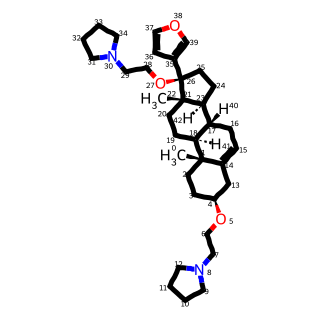 C[C@]12CC[C@H](OCCN3CCCC3)CC1=CC[C@@H]1[C@@H]2CC[C@@]2(C)[C@H]1CC[C@@]2(OCCN1CCCC1)c1ccoc1